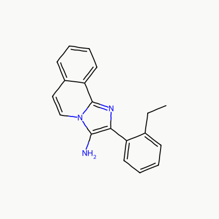 CCc1ccccc1-c1nc2c3ccccc3ccn2c1N